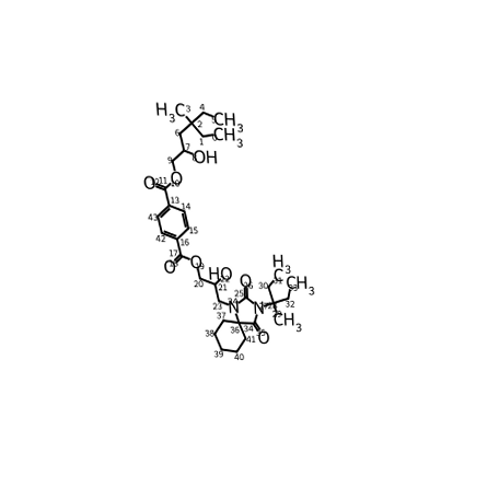 CCC(C)(CC)CC(O)COC(=O)c1ccc(C(=O)OCC(O)CN2C(=O)N(C(C)(CC)CC)C(=O)C23CCCCC3)cc1